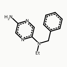 CCN(Cc1ccccc1)c1cnc(N)cn1